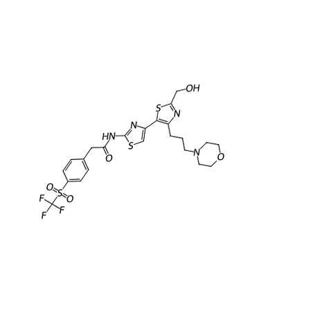 O=C(Cc1ccc(S(=O)(=O)C(F)(F)F)cc1)Nc1nc(-c2sc(CO)nc2CCCN2CCOCC2)cs1